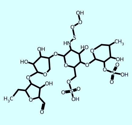 CCC1OC(C=O)C(O)C1OC1OCC(OC2OC(COS(=O)(=O)O)C(OC3OCC(C)C(O)C3OS(=O)(=O)O)C(O)C2NSOOO)C(O)C1O